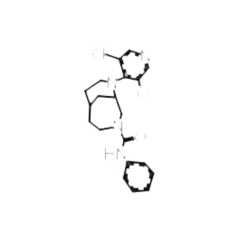 O=C(Nc1ccccc1)N1CCC2CCN(c3c(Cl)cncc3Cl)C(C2)C1